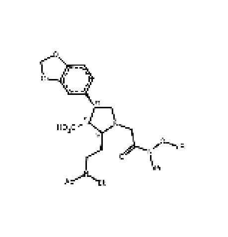 CCCON(CCC)C(=O)CN1C[C@H](c2ccc3c(c2)OCO3)[C@@H](C(=O)O)[C@@H]1CCN(CC)C(C)=O